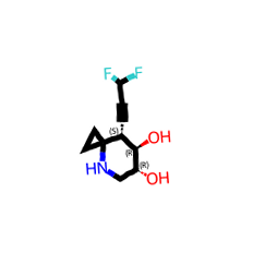 O[C@H]1[C@H](O)CNC2(CC2)[C@@H]1C#CC(F)F